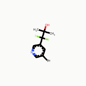 CC(C)c1cncc(C(F)(F)C(C)(C)O)c1